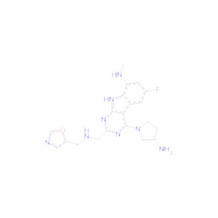 CNc1cc(F)cc2c1[nH]c1nc(CNCc3cnco3)nc(N3CCC(N)C3)c12